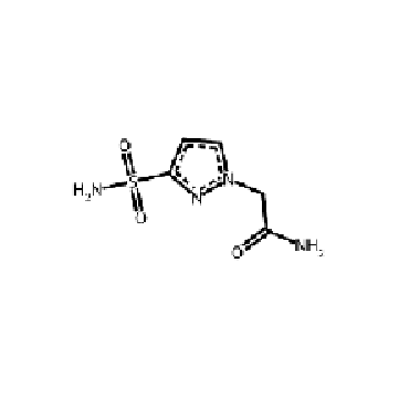 NC(=O)Cn1ccc(S(N)(=O)=O)n1